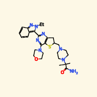 CCn1nc2ccccc2c1-c1nc2c(c(N3CCOCC3)n1)SC(CN1CCN(C(C)(C)C(N)=O)CC1)C2